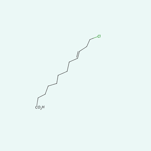 O=C(O)CCCCCCCC=CCCCl